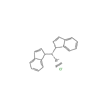 C=C.[Cl-].[Zr+][CH](C1C=Cc2ccccc21)C1C=Cc2ccccc21